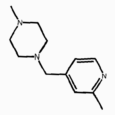 Cc1cc(CN2CCN(C)CC2)ccn1